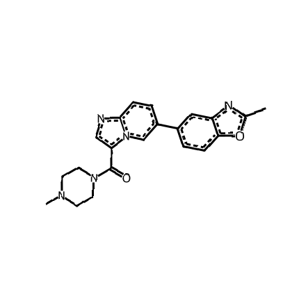 Cc1nc2cc(-c3ccc4ncc(C(=O)N5CCN(C)CC5)n4c3)ccc2o1